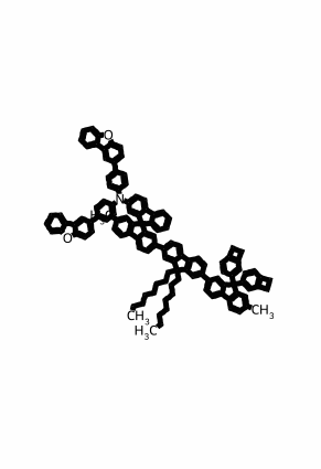 CCCCCCCCC1(CCCCCCCC)c2cc(-c3ccc4c(c3)C(c3ccc5c(c3)CC5)(c3ccc5c(c3)CC5)c3cc(C)ccc3-4)ccc2-c2ccc(-c3ccc4c(c3)C3(c5ccccc5-c5ccc(N(c6ccc(-c7ccc8oc9ccccc9c8c7)cc6)c6ccc(-c7ccc8oc9ccccc9c8c7)cc6)cc53)c3cc(C)ccc3-4)cc21